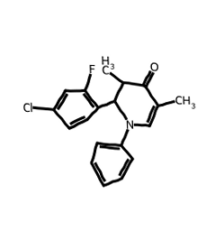 CC1=CN(c2ccccc2)C(c2ccc(Cl)cc2F)C(C)C1=O